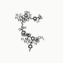 CCS(=O)(=O)Nc1ccc(-c2n[nH]c(Nc3ccc(C(=O)NCCCC(=O)N[C@@H](C(=O)N4C[C@@H](O)C[C@@H]4C(=O)NCc4ccc(-c5scnc5C)cc4)C(C)(C)C)cn3)c2C(N)=O)cc1O[C@H](C)c1ccc(F)cc1